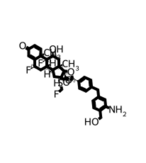 C[C@]12C=CC(=O)C=C1[C@@H](F)C[C@H]1[C@@H]3C[C@H]4O[C@@H](c5ccc(Cc6ccc(CO)c(N)c6)cc5)O[C@@]4(C(=O)SCF)[C@@]3(C)C[C@H](O)[C@@]12F